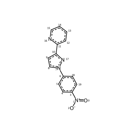 O=[N+]([O-])c1ccc(-n2ccc(-c3ccccn3)n2)cc1